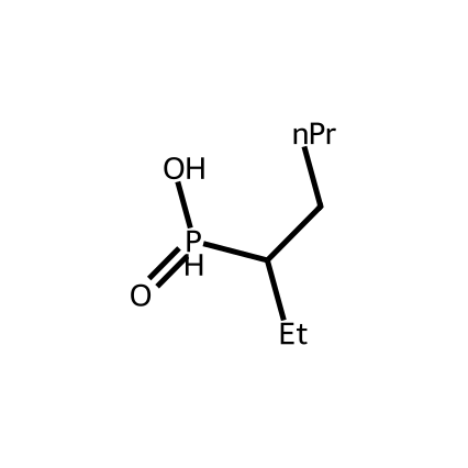 CCCCC(CC)[PH](=O)O